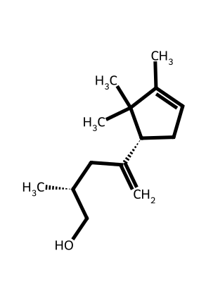 C=C(C[C@@H](C)CO)[C@H]1CC=C(C)C1(C)C